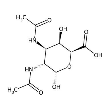 CC(=O)N[C@@H]1[C@@H](NC(C)=O)[C@@H](O)[C@@H](C(=O)O)O[C@@H]1O